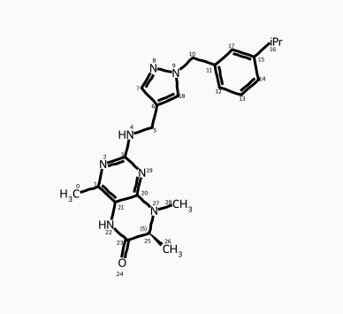 Cc1nc(NCc2cnn(Cc3cccc(C(C)C)c3)c2)nc2c1NC(=O)[C@H](C)N2C